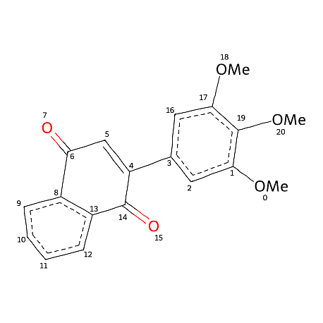 COc1cc(C2=CC(=O)c3ccccc3C2=O)cc(OC)c1OC